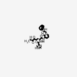 CNC(=O)C(=O)CC[C@H](NC(=O)c1nn[nH]n1)C(=O)Nc1cccn(CC(=O)NC2C3CC4CC(C3)C2C4)c1=O